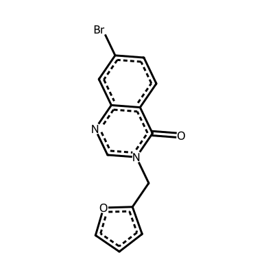 O=c1c2ccc(Br)cc2ncn1Cc1ccco1